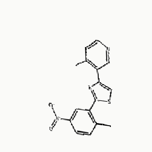 Cc1ccncc1-c1csc(-c2cc([N+](=O)[O-])ccc2C)n1